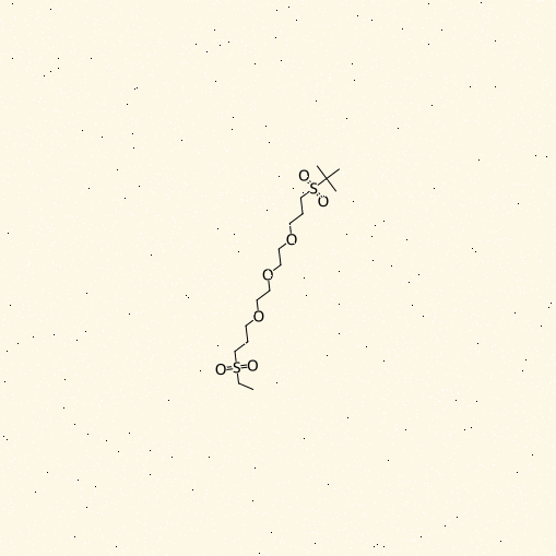 CCS(=O)(=O)CCCOCCOCCOCCCS(=O)(=O)C(C)(C)C